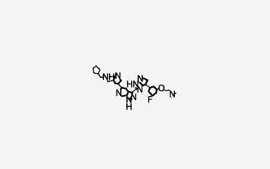 CN(C)CCOc1cc(F)cc(-c2ccnc3[nH]c(-c4n[nH]c5cnc(-c6cncc(CNCC7CCCC7)c6)cc45)nc23)c1